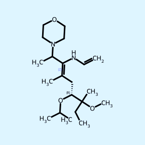 C=CN/C(=C(/C)C[C@@H](OC(C)C)C(C)(CC)OC)C(C)N1CCOCC1